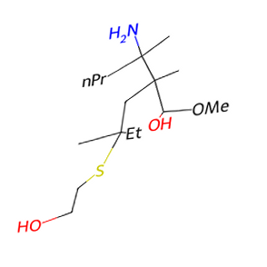 CCCC(C)(N)C(C)(CC(C)(CC)SCCO)C(O)OC